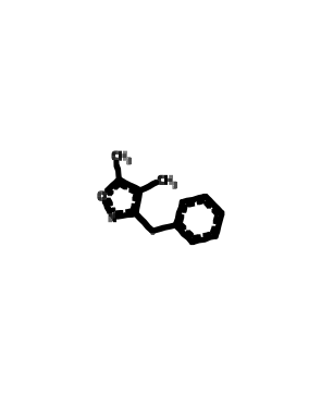 Cc1onc([CH]c2ccccc2)c1C